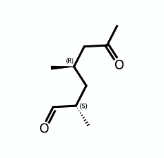 CC(=O)C[C@H](C)C[C@H](C)C=O